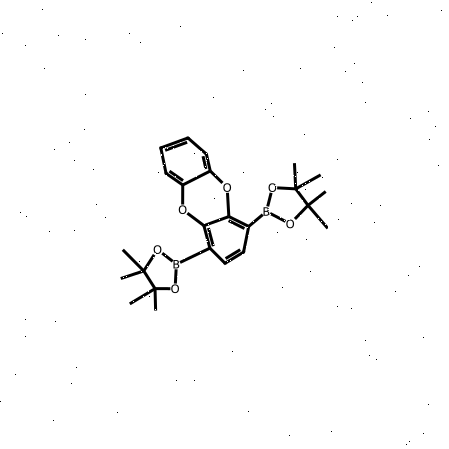 CC1(C)OB(c2ccc(B3OC(C)(C)C(C)(C)O3)c3c2Oc2ccccc2O3)OC1(C)C